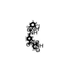 Cc1cccc(Cl)c1NC(=O)NCc1ccc2c(c1)CN(C1CCC(=O)NC1=O)C2=O